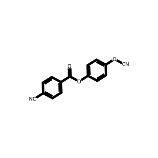 N#COc1ccc(OC(=O)c2ccc(C#N)cc2)cc1